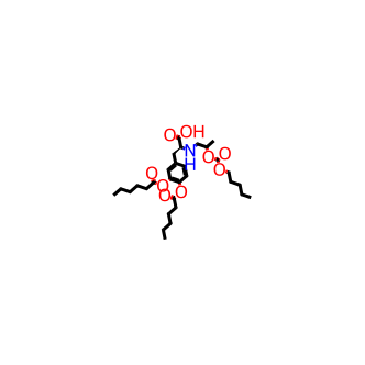 CCCCCOC(=O)OC(C)CN[C@@H](Cc1ccc(OC(=O)CCCCC)c(OC(=O)CCCCC)c1)C(=O)O